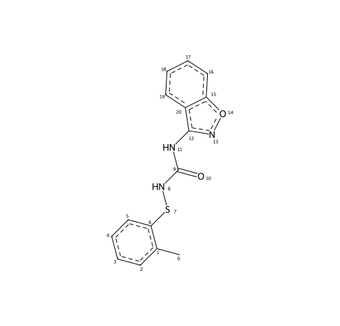 Cc1ccccc1SNC(=O)Nc1noc2ccccc12